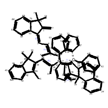 C=C1/C(=C\C=C(/C)N(c2ccccc2)c2cccc(C3(C)c4ccccc4C=CC3/C=C(\C=C/C)N(/C(C)=C/C3=C(C)c4ccccc4C3(C)C)c3ccccc3)c2Oc2ccccc2)c2ccccc2C1(C)C